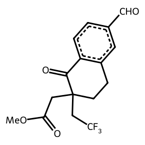 COC(=O)CC1(CC(F)(F)F)CCc2cc(C=O)ccc2C1=O